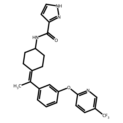 CC(=C1CCC(NC(=O)c2cc[nH]n2)CC1)c1cccc(Oc2ccc(C(F)(F)F)cn2)c1